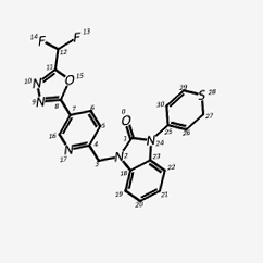 O=c1n(Cc2ccc(-c3nnc(C(F)F)o3)cn2)c2ccccc2n1C1=CCSC=C1